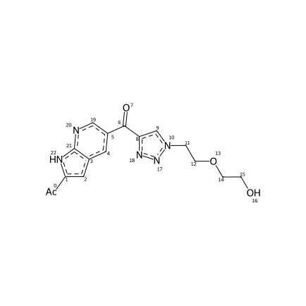 CC(=O)c1cc2cc(C(=O)c3cn(CCOCCO)nn3)cnc2[nH]1